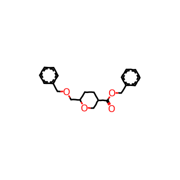 O=C(OCc1ccccc1)C1CCC(COCc2ccccc2)OC1